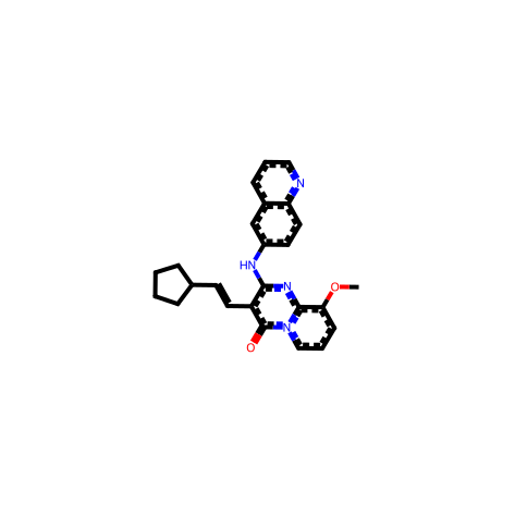 COc1cccn2c(=O)c(/C=C/C3CCCC3)c(Nc3ccc4ncccc4c3)nc12